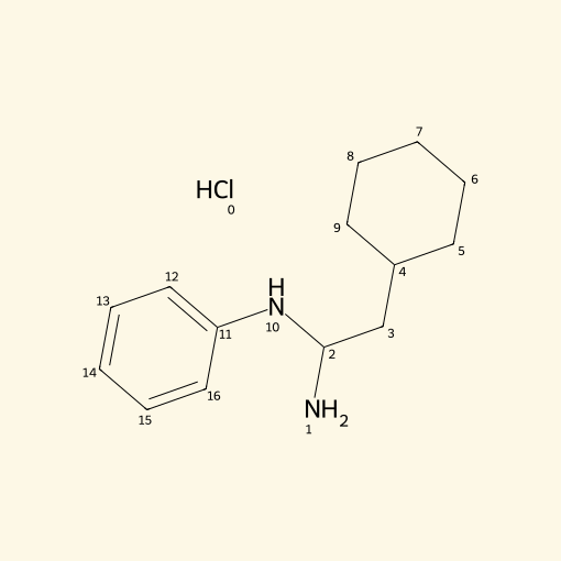 Cl.NC(CC1CCCCC1)Nc1ccccc1